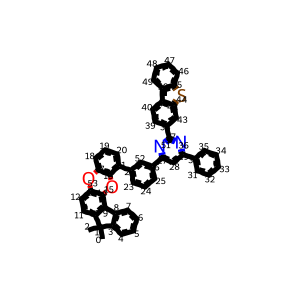 CC1(C)c2ccccc2-c2c1ccc1c2Oc2c(cccc2-c2cccc(-c3cc(-c4ccccc4)nc(-c4ccc5c(c4)sc4ccccc45)n3)c2)O1